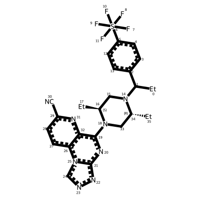 CCC(c1ccc(S(F)(F)(F)(F)F)cc1)N1C[C@H](CC)N(c2nc3nncn3c3ccc(C#N)nc23)C[C@H]1CC